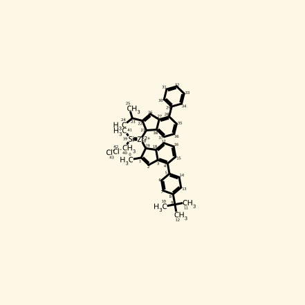 CC1=Cc2c(-c3ccc(C(C)(C)C)cc3)cccc2[CH]1[Zr+2]([CH]1C(C(C)C)=Cc2c(-c3ccccc3)cccc21)=[Si](C)C.[Cl-].[Cl-]